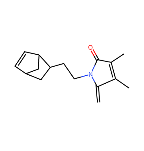 C=C1C(C)=C(C)C(=O)N1CCC1CC2C=CC1C2